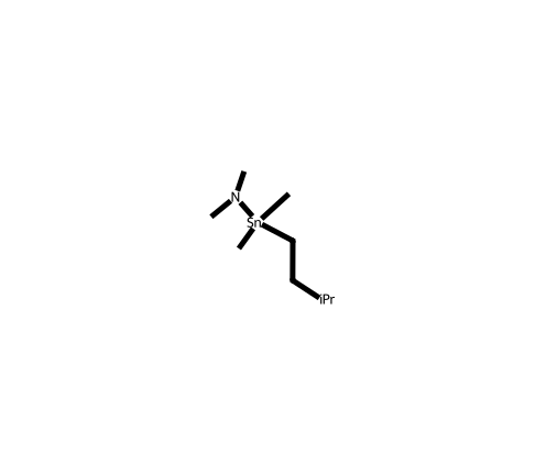 CC(C)C[CH2][Sn]([CH3])([CH3])[N](C)C